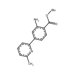 Cc1cccc(-c2ccc(C(=O)OC(C)(C)C)c(N)c2)n1